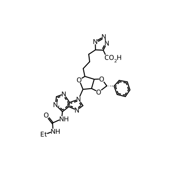 CCNC(=O)Nc1ncnc2c1ncn2C1OC(CCCC2N=NN=C2C(=O)O)C2O[C@H](c3ccccc3)OC21